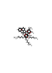 C=CC[C@]1(O)C(OCCCC)C(OCCCC)[C@H](OCCCC)C(OC(Cc2ccccc2)(c2ccccc2)C(Cc2ccccc2)c2ccccc2)[C@@H]1OCCCC